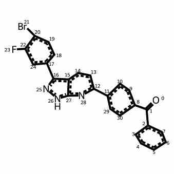 O=C(c1ccccc1)c1ccc(-c2ccc3c(-c4ccc(Br)c(F)c4)n[nH]c3n2)cc1